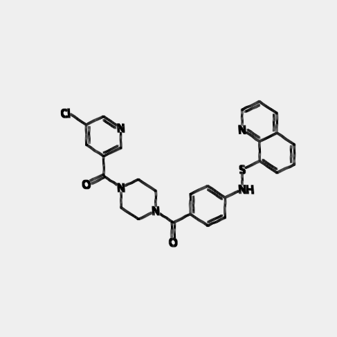 O=C(c1ccc(NSc2cccc3cccnc23)cc1)N1CCN(C(=O)c2cncc(Cl)c2)CC1